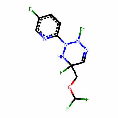 Fc1ccc(N2NC(F)(COC(F)F)C=NN2Br)nc1